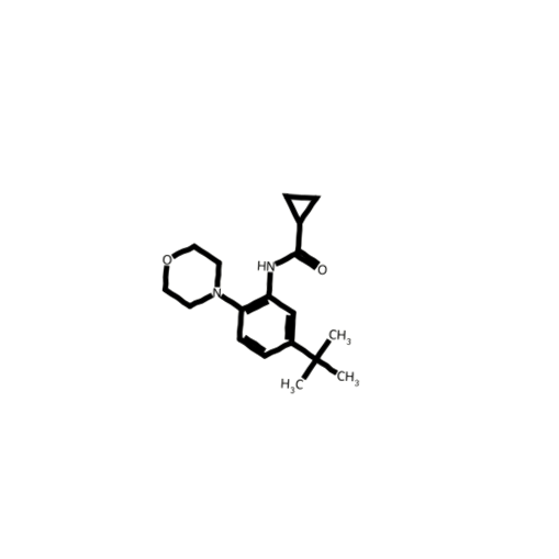 CC(C)(C)c1ccc(N2CCOCC2)c(NC(=O)C2CC2)c1